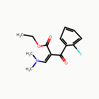 CCOC(=O)/C(=C\N(C)C)C(=O)c1ccccc1F